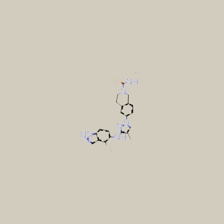 Cc1cn(-c2ccc3c(c2)CCN(C(=O)NC(C)C)C3)nc1Nc1ccc2[nH]ncc2c1Cl